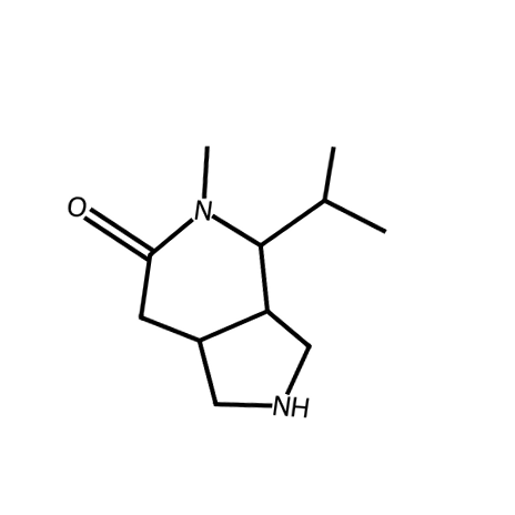 CC(C)C1C2CNCC2CC(=O)N1C